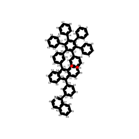 c1ccc(-c2c(-c3ccccc3)c(-c3ccccc3)c(-c3cccc(-c4c5ccccc5c(-c5cccc(-c6nccc7ccccc67)c5)c5ccccc45)c3)c(-c3ccccc3)c2-c2ccccc2)cc1